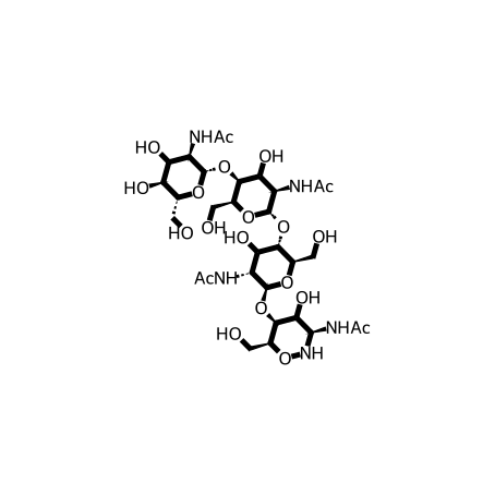 CC(=O)N[C@H]1NO[C@@H](CO)[C@@H](O[C@@H]2O[C@H](CO)[C@@H](O[C@@H]3O[C@@H](CO)[C@@H](O[C@@H]4O[C@H](CO)[C@@H](O)C(O)[C@H]4NC(C)=O)C(O)[C@H]3NC(C)=O)C(O)[C@H]2NC(C)=O)C1O